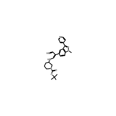 Cn1nc(-c2ccncc2)c2cc(/C(C=N)=C/NC3CCCN(C(=O)OC(C)(C)C)C3)ccc21